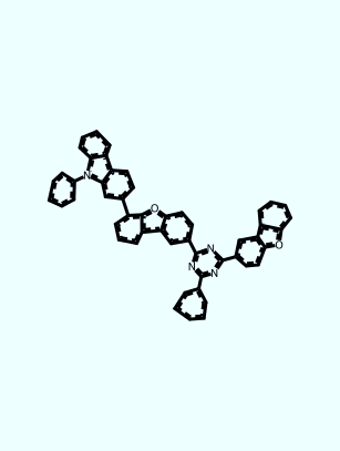 c1ccc(-c2nc(-c3ccc4oc5ccccc5c4c3)nc(-c3ccc4oc5c(-c6ccc7c8ccccc8n(-c8ccccc8)c7c6)cccc5c4c3)n2)cc1